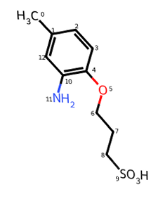 Cc1ccc(OCCCS(=O)(=O)O)c(N)c1